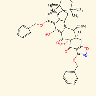 COc1cc(OCc2ccccc2)c2c(O)c3c(c4c2c1C1(C4)C(C)(C)CCCC1(C)C)[C@@H](OC)[C@H]1Cc2onc(OCc4ccccc4)c2C(=O)[C@@]1(O)C3=O